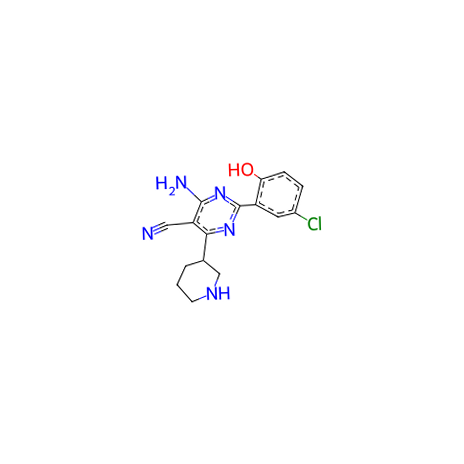 N#Cc1c(N)nc(-c2cc(Cl)ccc2O)nc1C1CCCNC1